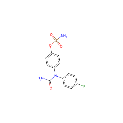 NC(=O)N(c1ccc(F)cc1)c1ccc(OS(N)(=O)=O)cc1